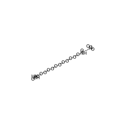 O=CBNOCCOCCOCCOCCOCCOCCOCCOCCOCCOCCOCCOCCNC(=O)CCCCCN1C(=O)C=CC1=O